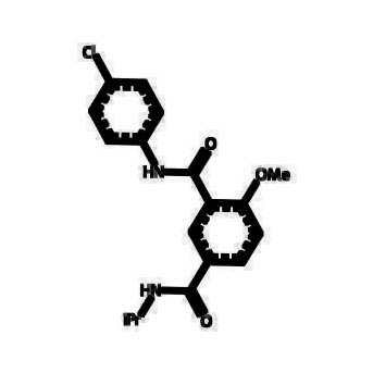 COc1ccc(C(=O)NC(C)C)cc1C(=O)Nc1ccc(Cl)cc1